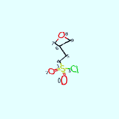 O=S(=O)(Cl)CCC1COC1